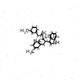 CC(=O)N(Cc1cccc(C)c1)[C@@](C)(C(=O)O)C(Cc1cccc(C)c1)c1c[nH]c2ccccc12